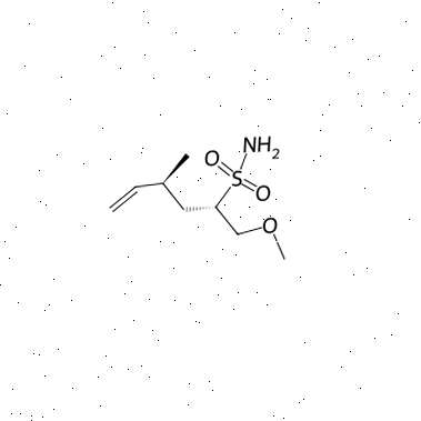 C=C[C@@H](C)C[C@@H](COC)S(N)(=O)=O